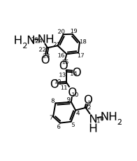 NNC(=O)c1ccccc1OC(=O)C(=O)Oc1ccccc1C(=O)NN